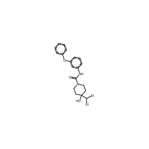 CCC(CC)C1(O)CCN(C(=O)Nc2cccc(Oc3ccccc3)c2)CC1